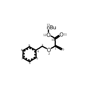 C=C(OCc1ccccc1)C(=O)OCCCC